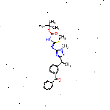 CS/C(=N\c1nc(C(C)c2cccc(C(=O)c3ccccc3)c2)nn1C)NC(=O)OC(C)(C)C